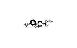 CC(C)(C)OC(=O)N1CCN(C2(O)C=CC=C(N)C2)CC1